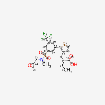 CC[C@@H](Cc1ccsc1-c1cc(C(F)(F)F)cc(S(=O)(=O)N(C)CC2CO2)c1)C(=O)O